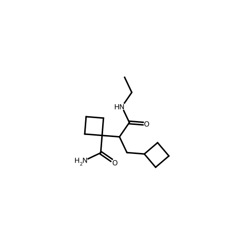 CCNC(=O)C(CC1CCC1)C1(C(N)=O)CCC1